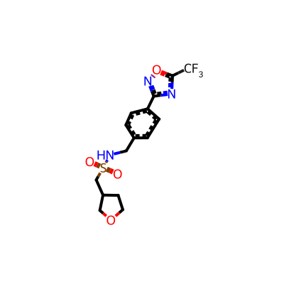 O=S(=O)(CC1CCOC1)NCc1ccc(-c2noc(C(F)(F)F)n2)cc1